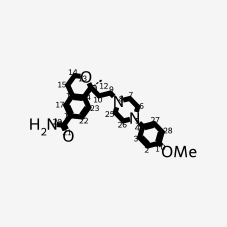 COc1ccc(N2CCN(CC[C@]3(C)OCCc4cc(C(N)=O)ccc43)CC2)cc1